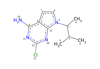 CC(C)C(C)n1ccc2c(N)nc(Cl)nc21